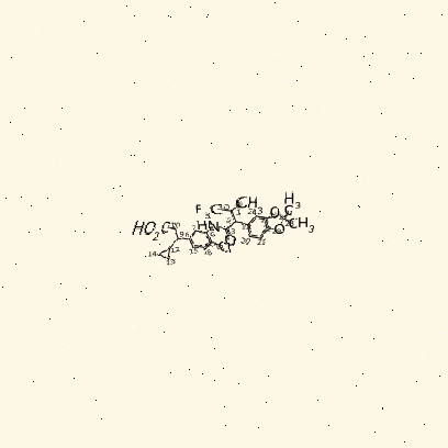 CC(C(C(=O)Nc1cc(C(CC(=O)O)C2CC2)ccc1Cl)c1ccc2c(c1)OC(C)(C)O2)C(F)(F)F